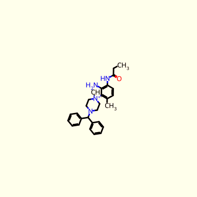 CCC(=O)Nc1ccc(C)c([N+]2(C)CCN(C(c3ccccc3)c3ccccc3)CC2)c1N